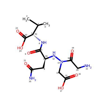 CC(C)[C@H](NC(=O)[C@H](CC(N)=O)NN(CC(=O)O)C(=O)CN)C(=O)O